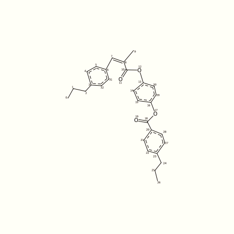 CCCc1ccc(C=C(C)C(=O)Oc2ccc(OC(=O)c3ccc(CCC)cc3)cc2)cc1